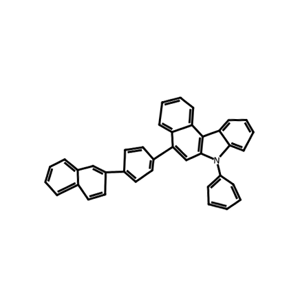 c1ccc(-n2c3ccccc3c3c4ccccc4c(-c4ccc(-c5ccc6ccccc6c5)cc4)cc32)cc1